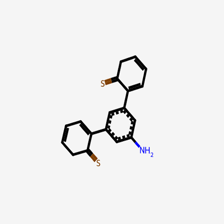 Nc1cc(C2=CC=CCC2=S)cc(C2=CC=CCC2=S)c1